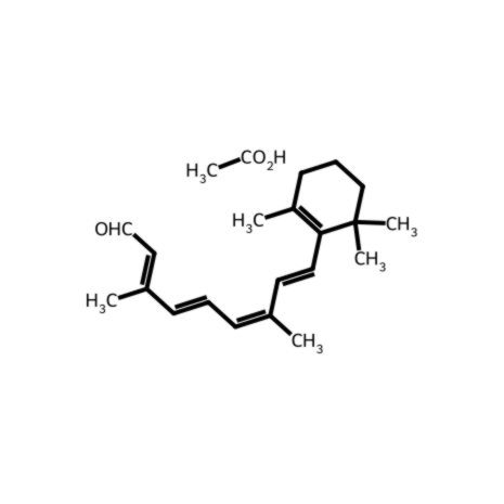 CC(=O)O.CC(C=C/C=C(/C)C=CC1=C(C)CCCC1(C)C)=CC=O